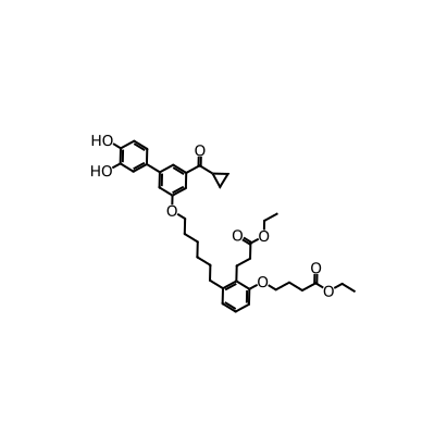 CCOC(=O)CCCOc1cccc(CCCCCCOc2cc(C(=O)C3CC3)cc(-c3ccc(O)c(O)c3)c2)c1CCC(=O)OCC